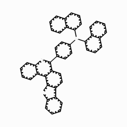 c1ccc2c(N(c3ccc(-c4nc5ccccc5c5c4ccc4c6ccccc6sc45)cc3)c3cccc4ccccc34)cccc2c1